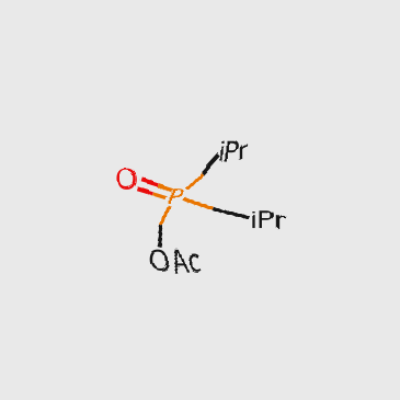 CC(=O)OP(=O)(C(C)C)C(C)C